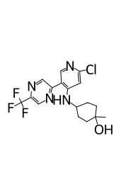 CC1(O)CCC(Nc2cc(Cl)ncc2-c2cnc(C(F)(F)F)cn2)CC1